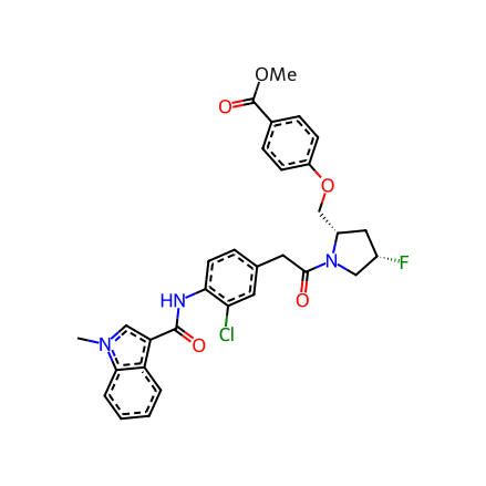 COC(=O)c1ccc(OC[C@@H]2C[C@H](F)CN2C(=O)Cc2ccc(NC(=O)c3cn(C)c4ccccc34)c(Cl)c2)cc1